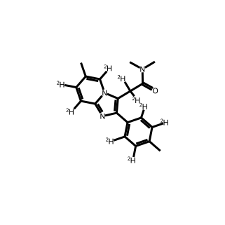 [2H]c1c([2H])c(-c2nc3c([2H])c([2H])c(C)c([2H])n3c2C([2H])([2H])C(=O)N(C)C)c([2H])c([2H])c1C